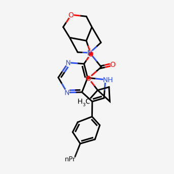 CCCc1ccc(-c2c[nH]c3c(OC4C5COCC4CN(C(=O)OC4(C)CC4)C5)ncnc23)cc1